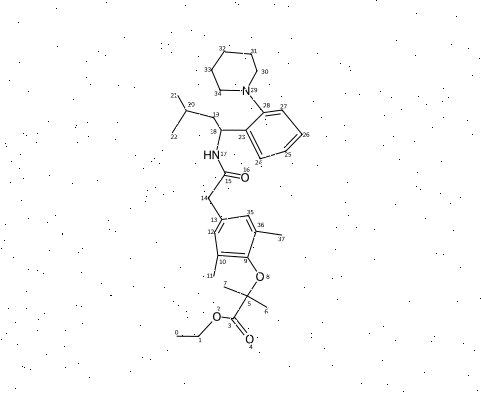 CCOC(=O)C(C)(C)Oc1c(C)cc(CC(=O)NC(CC(C)C)c2ccccc2N2CCCCC2)cc1C